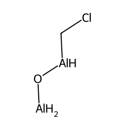 [AlH2][O][AlH][CH2]Cl